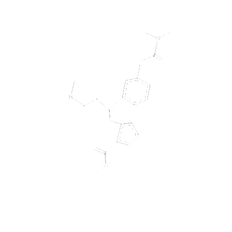 COC(=O)c1sccc1OC(CCN(C)C)c1cccc(OC(=O)N(C)C)c1